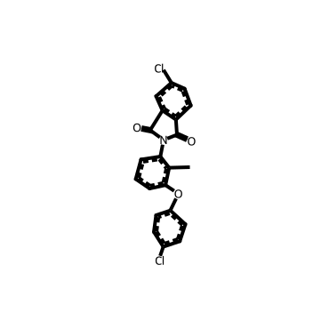 Cc1c(Oc2ccc(Cl)cc2)cccc1N1C(=O)c2ccc(Cl)cc2C1=O